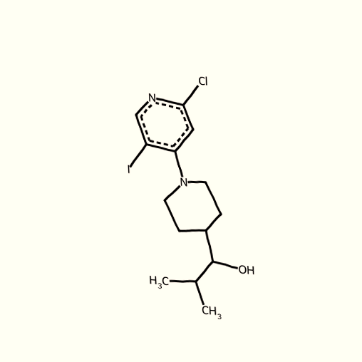 CC(C)C(O)C1CCN(c2cc(Cl)ncc2I)CC1